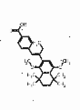 CCC(=Cc1ccc(C(=O)O)cc1)c1cc(OC)c2c(c1OC)C(C)(C)CCC2(C)C